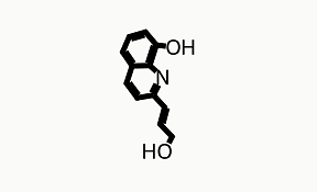 OCC=Cc1ccc2cccc(O)c2n1